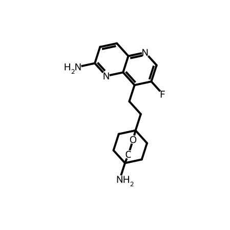 Nc1ccc2ncc(F)c(CCC34CCC(N)(CC3)CO4)c2n1